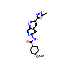 CO[C@H]1CC[C@@H](C(=O)Nc2cc3cc(-c4nnc(C)s4)cnc3cn2)CC1